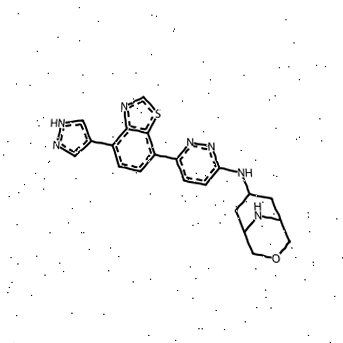 c1nc2c(-c3cn[nH]c3)ccc(-c3ccc(NC4CC5COCC(C4)N5)nn3)c2s1